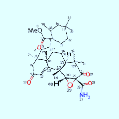 COC(=O)[C@]1(CC[C@]2(C)CC(=O)C=C3[C@]4(C)[C@@H](CC[C@]32C)C(C)(C)C(=O)[C@]2(C(N)=O)O[C@@H]24)CCC(C)(C)CC1C